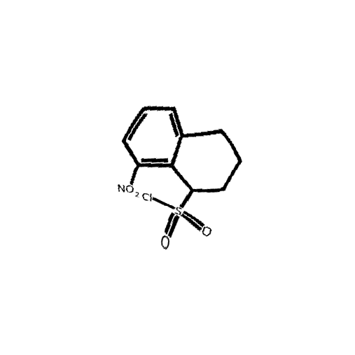 O=[N+]([O-])c1cccc2c1C(S(=O)(=O)Cl)CCC2